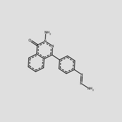 NN=Nc1ccc(-c2nn(N)c(=O)c3ccccc23)cc1